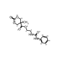 CC1(C(=O)OCCNC(=O)Nc2ccccc2)COC(=O)OC1